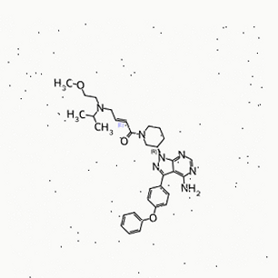 COCCN(C/C=C/C(=O)N1CCC[C@@H](n2nc(-c3ccc(Oc4ccccc4)cc3)c3c(N)ncnc32)C1)C(C)C